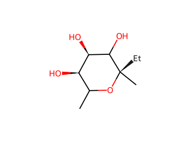 CC[C@@]1(C)OC(C)[C@@H](O)[C@@H](O)C1O